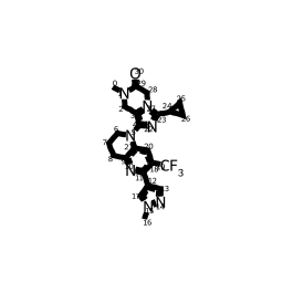 CN1Cc2c(N3CCCc4nc(-c5cnn(C)c5)c(C(F)(F)F)cc43)nc(C3CC3)n2CC1=O